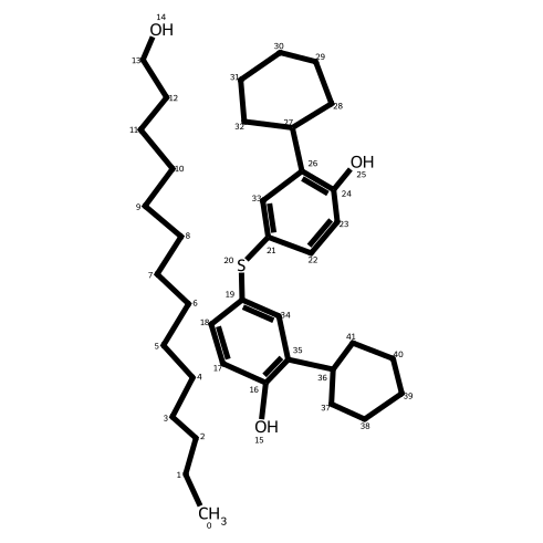 CCCCCCCCCCCCCCO.Oc1ccc(Sc2ccc(O)c(C3CCCCC3)c2)cc1C1CCCCC1